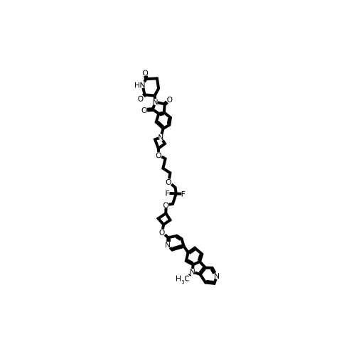 Cn1c2ccncc2c2ccc(-c3ccc(OC4CC(OCC(F)(F)COCCCOC5CN(c6ccc7c(c6)C(=O)N(C6CCC(=O)NC6=O)C7=O)C5)C4)nc3)cc21